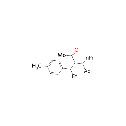 CCCC(C(C)=O)C([C](=O)[Mo])C(CC)c1ccc(C)cc1